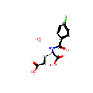 O.O=C(O)CC[C@H](NC(=O)c1ccc(Cl)cc1)C(=O)O